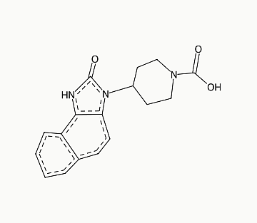 O=C(O)N1CCC(n2c(=O)[nH]c3c4ccccc4ccc32)CC1